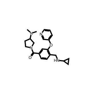 CN(C)C1CCN(C(=O)c2ccc(CNC3CC3)c(Oc3cccnc3)c2)C1